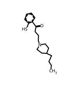 CCCCC1CCN(CCCC(=O)c2ccccc2S)CC1